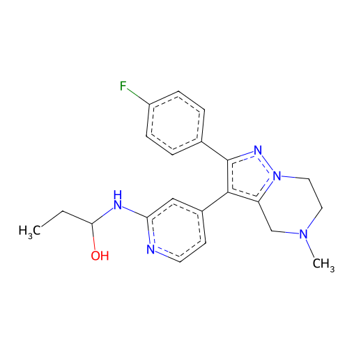 CCC(O)Nc1cc(-c2c(-c3ccc(F)cc3)nn3c2CN(C)CC3)ccn1